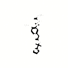 CNC(=O)NS(=O)(=O)c1cc(CC(=O)NC(C)(C)c2ccco2)ccc1OC